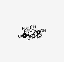 CC(C)NC[C@@H](C(=O)N1CCN(c2ncnc3c2C(C)C[C@H]3O)CC1)c1ccc(Cl)cc1.Cl